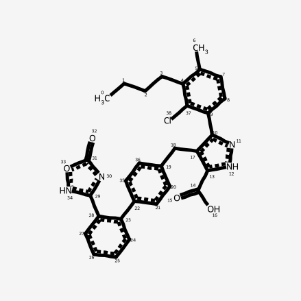 CCCCc1c(C)ccc(-c2n[nH]c(C(=O)O)c2Cc2ccc(-c3ccccc3-c3nc(=O)o[nH]3)cc2)c1Cl